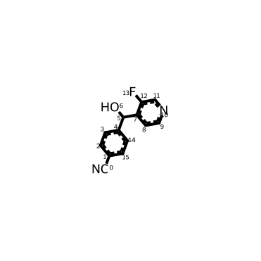 N#Cc1ccc(C(O)c2ccncc2F)cc1